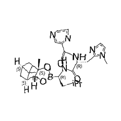 CC(C)C[C@H](NC(=O)[C@@H](Cc1nccn1C)NC(=O)c1cnccn1)B1O[C@@H]2[C@H]3C[C@@H](C[C@]2(C)O1)C3(C)C